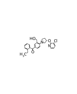 CCc1ccccc1C(=O)c1ccc(N2CC[C@H](Oc3ncccc3Cl)C2)c(CO)c1